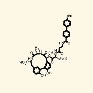 CCCCC[C@H](NC(=O)CCNC(=O)c1ccc(-c2ccc(C(C)(C)C)cc2)cc1)C(=O)N(C)[C@@H]1C(=O)N[C@@H](C)C(=O)N[C@H](C(=O)O)Cc2ccc(O)c(c2)-c2cc1ccc2O